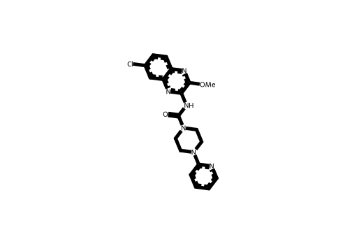 COc1nc2ccc(Cl)cc2nc1NC(=O)N1CCN(c2ccccn2)CC1